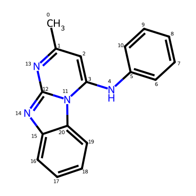 Cc1cc(Nc2ccccc2)n2c(n1)nc1ccccc12